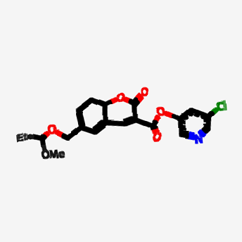 CCC(OC)OCC1=CCC2OC(=O)C(C(=O)Oc3cncc(Cl)c3)=CC2=C1